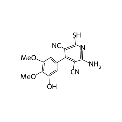 COc1cc(-c2c(C#N)c(N)nc(S)c2C#N)cc(O)c1OC